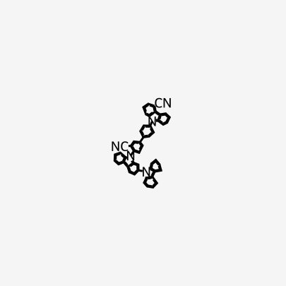 N#Cc1cc(-c2ccc(-n3c4ccccc4c4c(C#N)cccc43)cc2)ccc1-n1c2ccccc2c2ccc(-n3c4ccccc4c4ccccc43)cc21